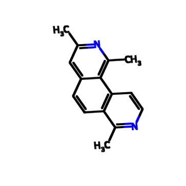 Cc1cc2ccc3c(C)nccc3c2c(C)n1